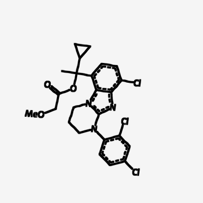 COCC(=O)OC(C)(c1ccc(Cl)c2nc3n(c12)CCCN3c1ccc(Cl)cc1Cl)C1CC1